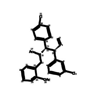 C=C[C@H](c1cccc(Cl)c1)[C@@H](c1ccc(Cl)cc1)N(Cc1ccccc1OC(C)=O)C(C)=O